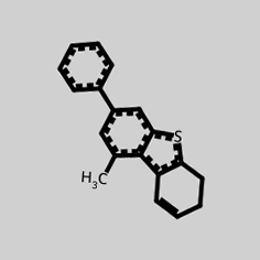 Cc1cc(-c2ccccc2)cc2sc3c(c12)C=CCC3